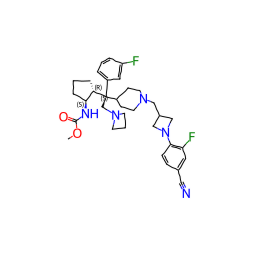 COC(=O)N[C@H]1CCC[C@@H]1[C@](CN1CCC1)(c1cccc(F)c1)C1CCN(CC2CN(c3ccc(C#N)cc3F)C2)CC1